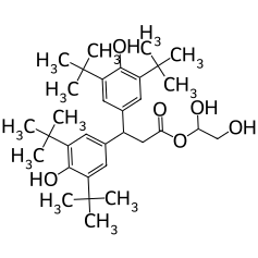 CC(C)(C)c1cc(C(CC(=O)OC(O)CO)c2cc(C(C)(C)C)c(O)c(C(C)(C)C)c2)cc(C(C)(C)C)c1O